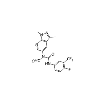 Cc1nn(C)c2ncc(N(C=O)C(=O)Nc3ccc(F)c(C(F)(F)F)c3)cc12